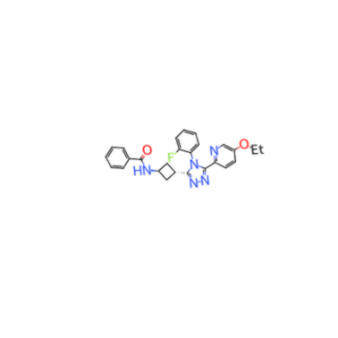 CCOc1ccc(-c2nnc([C@H]3C[C@H](NC(=O)c4ccccc4)C3)n2-c2ccccc2F)nc1